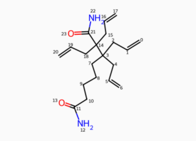 C=CCC(CC=C)(CCCCC(N)=O)C(CC=C)(CC=C)C(N)=O